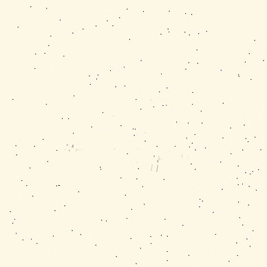 COc1cccc(C2(O)NC(=O)c3ccccc32)c1